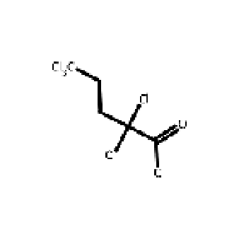 O=C(Cl)C(Cl)(Cl)CCC(Cl)(Cl)Cl